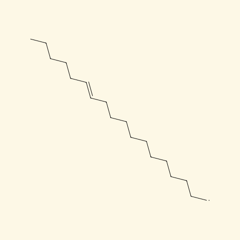 [CH2]CCCCCCCCCC/C=C/CCCCC